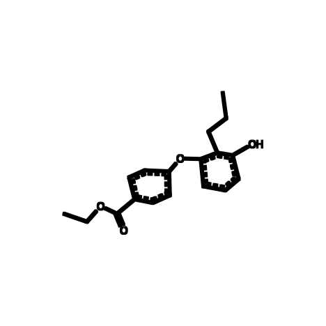 CCCc1c(O)cccc1Oc1ccc(C(=O)OCC)cc1